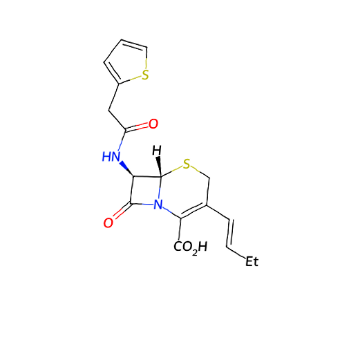 CCC=CC1=C(C(=O)O)N2C(=O)[C@@H](NC(=O)Cc3cccs3)[C@@H]2SC1